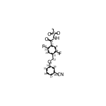 CS(=O)(=O)NC(=O)c1cc(F)c(COc2cccc(C#N)c2)cc1F